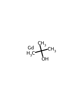 CC(C)(C)O.[Gd]